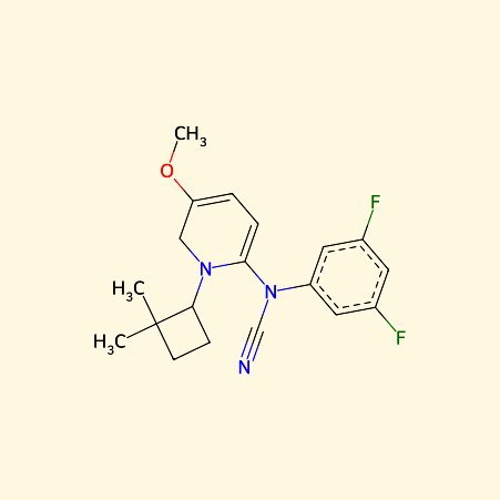 COC1=CC=C(N(C#N)c2cc(F)cc(F)c2)N(C2CCC2(C)C)C1